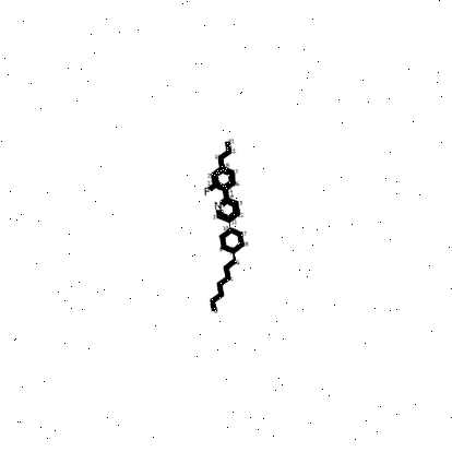 CCCCCCC[C@H]1CC[C@H](c2ccc(-c3ccc(CCC)cc3F)nc2)CC1